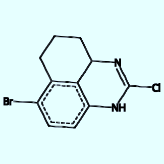 ClC1=NC2CCCc3c(Br)ccc(c32)N1